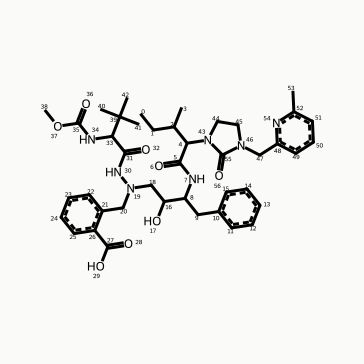 CCC(C)C(C(=O)NC(Cc1ccccc1)C(O)CN(Cc1ccccc1C(=O)O)NC(=O)C(NC(=O)OC)C(C)(C)C)N1CCN(Cc2cccc(C)n2)C1=O